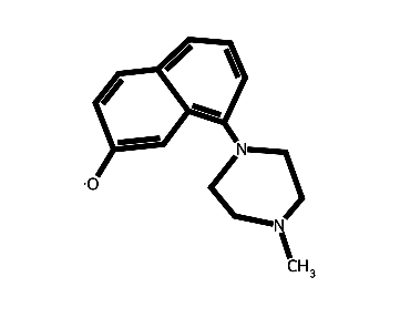 CN1CCN(c2cccc3ccc([O])cc23)CC1